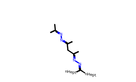 CCCCCCCC(CCCCCCC)=N/N=C(\C)C/C(C)=N/N=C(C)C